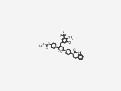 COC(=O)OC1CCN(C(=O)[C@H](CC(=O)N2CCC(N3CCc4ccccc4NC3=O)CC2)Cc2cc(Cl)c(N)c(C(F)(F)F)c2)CC1